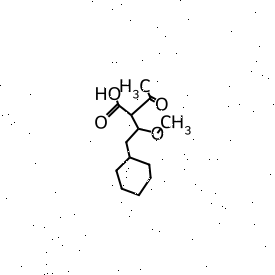 COC(CC1CCCCC1)C(C(C)=O)C(=O)O